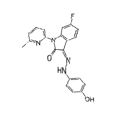 Cc1cccc(N2C(=O)C(=NNc3ccc(O)cc3)c3ccc(F)cc32)n1